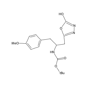 COc1ccc(CC(Cc2nnc(O)o2)NC(=O)OC(C)(C)C)cc1